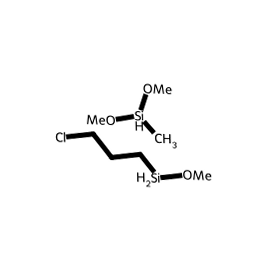 CO[SiH2]CCCCl.CO[SiH](C)OC